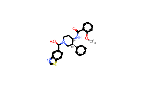 O=C(N[C@@H]1CCN(C(O)c2ccc3scnc3c2)C[C@@H]1c1ccccc1)c1ccccc1OC(F)(F)F